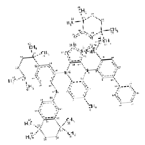 Cc1cc2c3c(c1)N(c1cc(-c4ccccc4)ccc1[SiH](C)C)c1c(oc4cc5c(cc14)C(C)(C)CCC5(C)C)B3c1cc3c(cc1N2c1ccc2c(c1)C(C)(C)CCC2(C)C)C(C)(C)CCC3(C)C